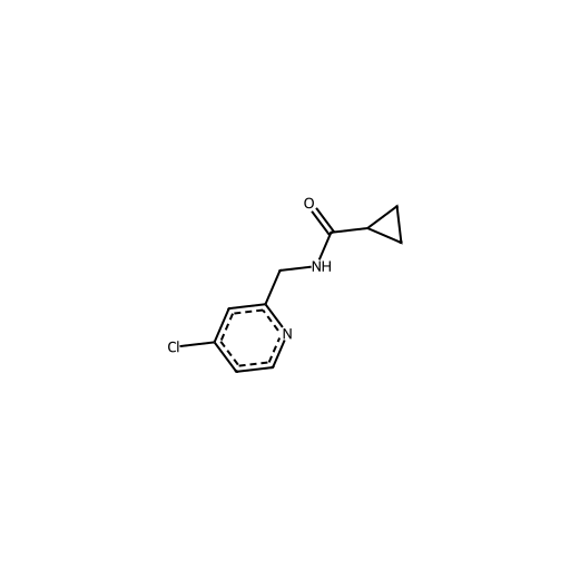 O=C(NCc1cc(Cl)ccn1)C1CC1